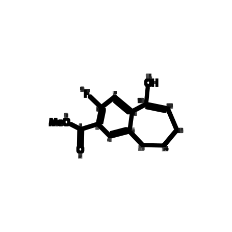 COC(=O)c1cc2c(cc1F)C(O)=CCCC2